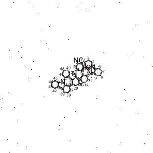 N#Cc1ccc2c3ccccc3n(-c3ccccc3-c3c(C#N)cccc3-n3c4ccccc4c4c(-n5c6ccccc6c6ccccc65)cccc43)c2c1